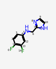 Fc1ccc(NCc2ncc[nH]2)cc1F